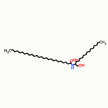 CCCCCCCCCCCCCCCCCCCCCCCCCC(=O)NC(CO)C(O)CCCCCCCCCCCCC